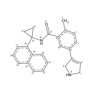 Cc1ccc(C2=CCNC2)cc1C(=O)NC1(c2cccc3ccccc23)CC1